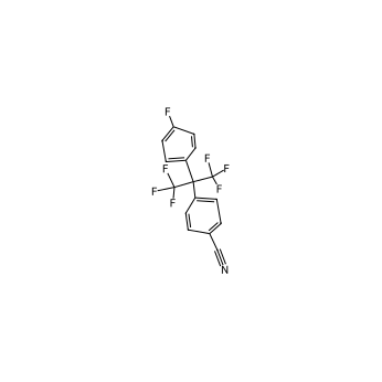 N#Cc1ccc(C(c2ccc(F)cc2)(C(F)(F)F)C(F)(F)F)cc1